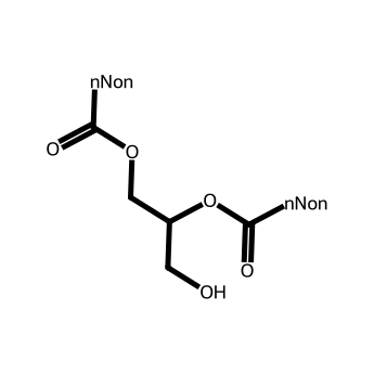 CCCCCCCCCC(=O)OCC(CO)OC(=O)CCCCCCCCC